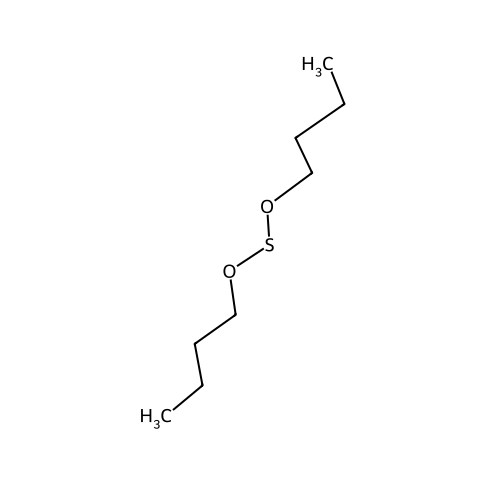 CCCCOSOCCCC